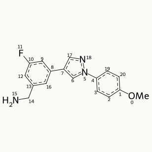 COc1ccc(-n2cc(-c3cc(F)cc(CN)c3)cn2)cc1